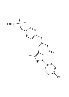 C=CCN(Cc1ccc(OC(C)(C)C(=O)OCC)cc1)Cc1sc(-c2ccc(C(F)(F)F)cc2)nc1C